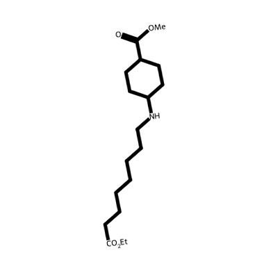 CCOC(=O)CCCCCCCNC1CCC(C(=O)OC)CC1